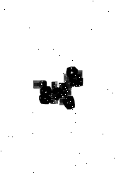 Oc1cc(-c2ncc3c(N4CC5CCC(C4)N5)nc(OC[C@]45CCCN4[C@H]4CCCC[C@H]4C5)nc3c2F)c2c(Cl)cccc2c1